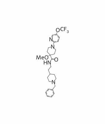 COC1(C(=O)NCCC2CCN(Cc3ccccc3)CC2)CCN(c2ccc(OC(F)(F)F)cn2)CC1